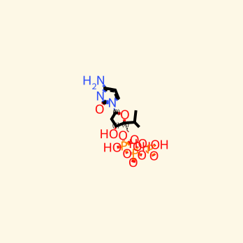 CC(C)[C@]1(COP(=O)(O)OP(=O)(O)OP(=O)(O)O)O[C@@H](n2ccc(N)nc2=O)C[C@@H]1O